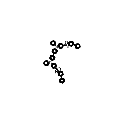 c1ccc(-c2ccc3oc(-c4ccc(N(c5ccccc5)c5ccc(-c6ccc(N(c7ccccc7)c7ccc(-c8nc9cc(-c%10ccccc%10)ccc9o8)cc7)cc6)cc5)cc4)nc3c2)cc1